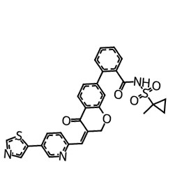 CC1(S(=O)(=O)NC(=O)c2ccccc2-c2ccc3c(c2)OCC(=Cc2ccc(-c4cncs4)cn2)C3=O)CC1